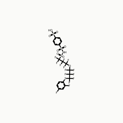 O=S(=O)(O)c1ccc(S(=O)(=O)NS(=O)(=O)C(F)(F)C(F)(F)C(F)(F)OC(F)(F)C(F)(F)C(F)(F)Sc2ccc(F)cc2F)cc1